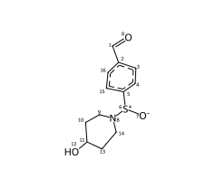 O=Cc1ccc([S+]([O-])N2CCC(O)CC2)cc1